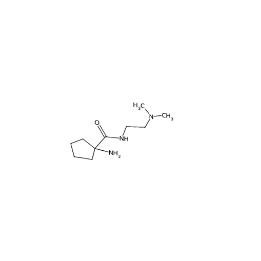 CN(C)CCNC(=O)C1(N)CCCC1